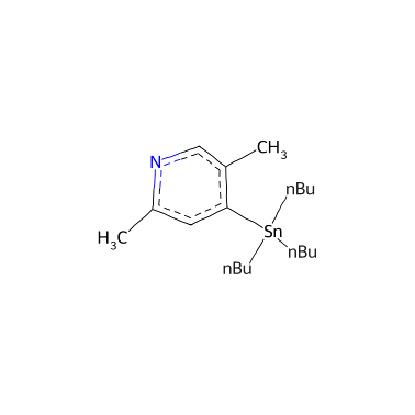 CCC[CH2][Sn]([CH2]CCC)([CH2]CCC)[c]1cc(C)ncc1C